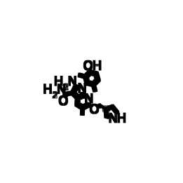 Cc1cc2c(C(N)=O)c(N)n(-c3c(C)ccc(O)c3C)c2nc1OC[C@H]1CCNC1